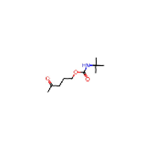 CC(=O)CCCOC(=O)NC(C)(C)C